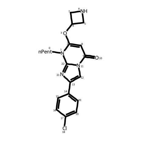 CCCCCn1c(OC2CNC2)cc(=O)n2cc(-c3ccc(Cl)cc3)nc12